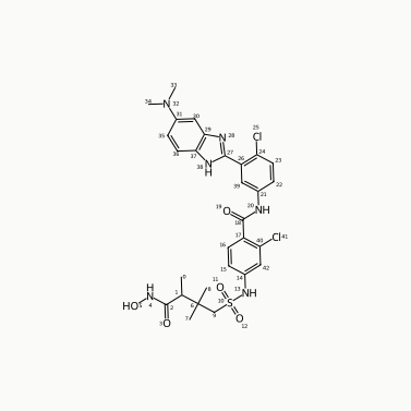 CC(C(=O)NO)C(C)(C)CS(=O)(=O)Nc1ccc(C(=O)Nc2ccc(Cl)c(-c3nc4cc(N(C)C)ccc4[nH]3)c2)c(Cl)c1